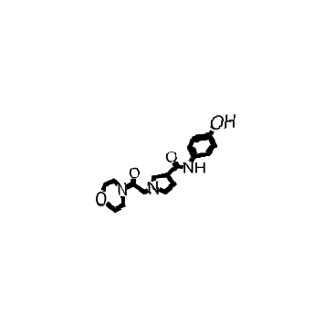 O=C(Nc1ccc(O)cc1)C1CCN(CC(=O)N2CCOCC2)C1